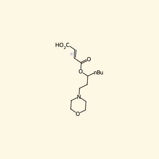 CCCCC(CCN1CCOCC1)OC(=O)/C=C/C(=O)O